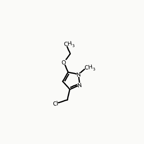 CCOc1cc(CCl)nn1C